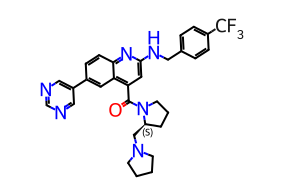 O=C(c1cc(NCc2ccc(C(F)(F)F)cc2)nc2ccc(-c3cncnc3)cc12)N1CCC[C@H]1CN1CCCC1